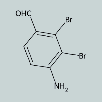 Nc1ccc(C=O)c(Br)c1Br